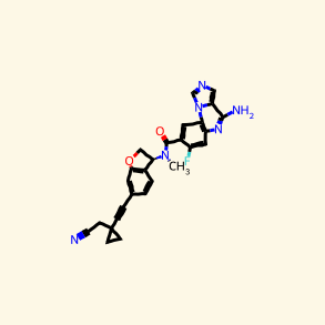 CN(C(=O)c1cc2c(cc1F)nc(N)c1cncn12)[C@@H]1COc2cc(C#CC3(CC#N)CC3)ccc21